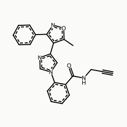 C#CCNC(=O)c1ccccc1-n1cnc(-c2c(-c3ccccc3)noc2C)c1